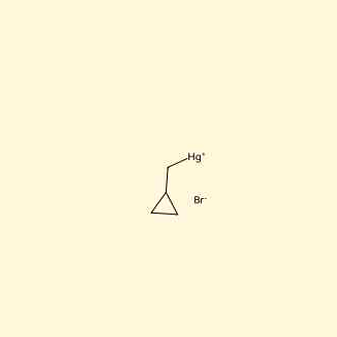 [Br-].[Hg+][CH2]C1CC1